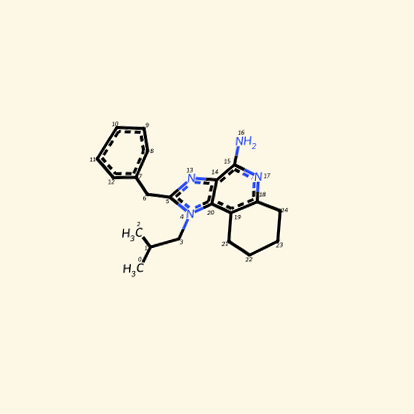 CC(C)Cn1c(Cc2ccccc2)nc2c(N)nc3c(c21)CCCC3